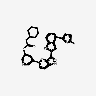 O=C(CC1CCCCC1)Nc1cncc(-c2ccc3[nH]nc(-c4cc5c(-c6ccc(F)s6)cccc5[nH]4)c3n2)c1